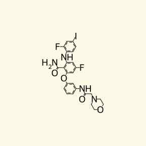 NC(=O)c1c(Nc2ccc(I)cc2F)cc(F)cc1Oc1cccc(NC(=O)CN2CCOCC2)c1